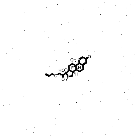 C=CCOCC(=O)[C@@]1(O)[C@H](C)C[C@H]2[C@@H]3CCC4=CC(=O)C=C[C@]4(C)[C@@]3(F)[C@@H](O)C[C@@]21C